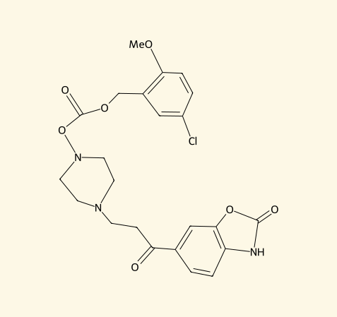 COc1ccc(Cl)cc1COC(=O)ON1CCN(CCC(=O)c2ccc3[nH]c(=O)oc3c2)CC1